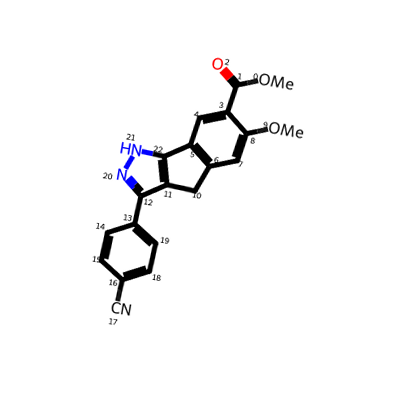 COC(=O)c1cc2c(cc1OC)Cc1c(-c3ccc(C#N)cc3)n[nH]c1-2